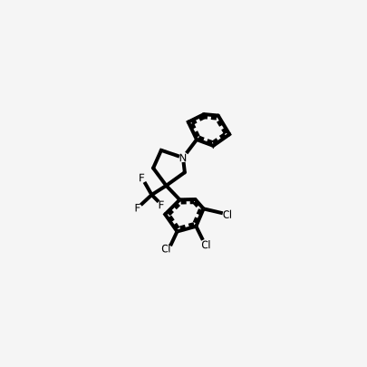 FC(F)(F)C1(c2cc(Cl)c(Cl)c(Cl)c2)CCN(c2[c]cccc2)C1